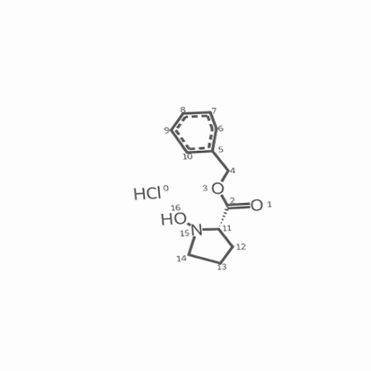 Cl.O=C(OCc1ccccc1)[C@@H]1CCCN1O